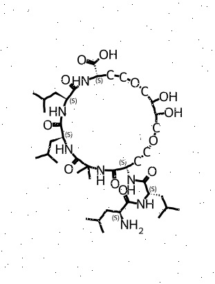 CC(C)C[C@@H]1NC(=O)[C@H](CC(C)C)NC(=O)C(C)(C)NC(=O)[C@@H](NC(=O)[C@H](CC(C)C)NC(=O)[C@@H](N)CC(C)C)CCOCC(O)C(O)COCC[C@@H](C(=O)O)NC1=O